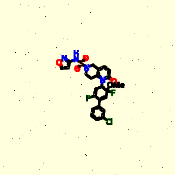 COC1(F)C=C(c2cccc(Cl)c2)C(F)=CC1n1c2c(ccc1=O)CN(S(=O)(=O)Nc1ccon1)CC2